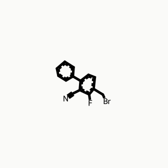 N#Cc1c(-c2ccccc2)ccc(CBr)c1F